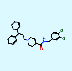 O=C(NCC1C=C(Cl)C(Cl)=CC1)C1CCN(CCC(C2=CCCC=C2)C2C=CCCC2)CC1